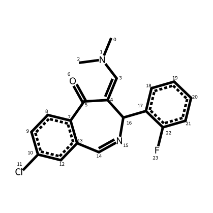 CN(C)C=C1C(=O)c2ccc(Cl)cc2C=NC1c1ccccc1F